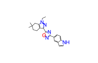 CCn1nc(-c2nc(-c3ccc4[nH]ccc4c3)no2)c2c1CC(C)(C)CC2